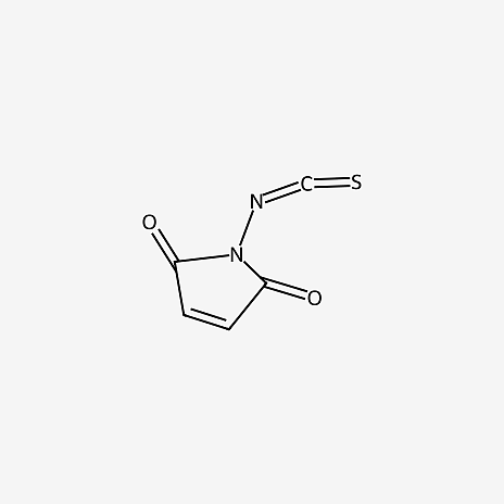 O=C1C=CC(=O)N1N=C=S